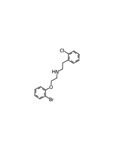 Clc1ccccc1CCNCCOc1ccccc1Br